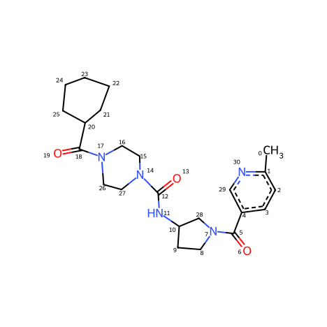 Cc1ccc(C(=O)N2CCC(NC(=O)N3CCN(C(=O)C4CCCCC4)CC3)C2)cn1